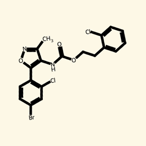 Cc1noc(-c2ccc(Br)cc2Cl)c1NC(=O)OCCc1ccccc1Cl